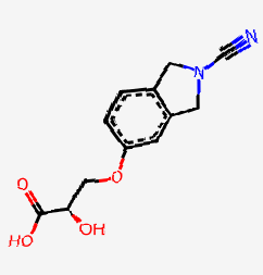 N#CN1Cc2ccc(OC[C@@H](O)C(=O)O)cc2C1